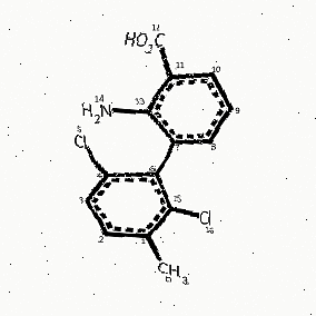 Cc1ccc(Cl)c(-c2cccc(C(=O)O)c2N)c1Cl